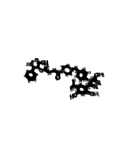 CNC(c1ccccc1)C(OC(=O)CCC(=O)N1CCN(Cc2ccc(-n3c(O)nnc3-c3cc(C(C)C)c(O)cc3O)cc2)CC1)C(=O)O